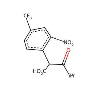 CC(C)C(=O)C(C(=O)O)c1ccc(C(F)(F)F)cc1[N+](=O)[O-]